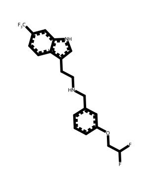 FC(F)COc1cccc(CNCCc2c[nH]c3cc(C(F)(F)F)ccc23)c1